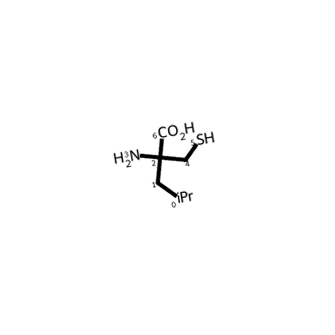 CC(C)CC(N)(CS)C(=O)O